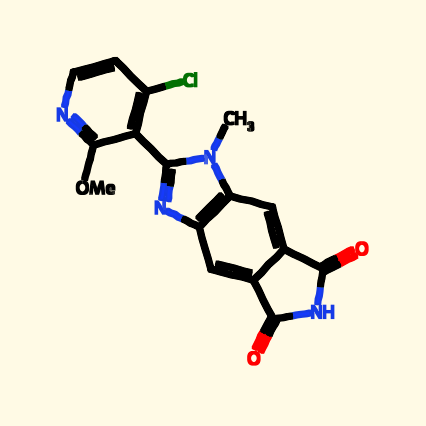 COc1nccc(Cl)c1-c1nc2cc3c(cc2n1C)C(=O)NC3=O